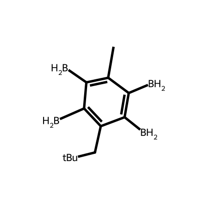 Bc1c(B)c(CC(C)(C)C)c(B)c(B)c1C